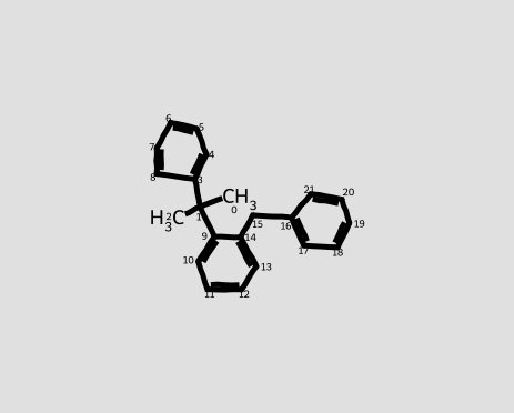 CC(C)(c1ccccc1)c1ccccc1Cc1ccccc1